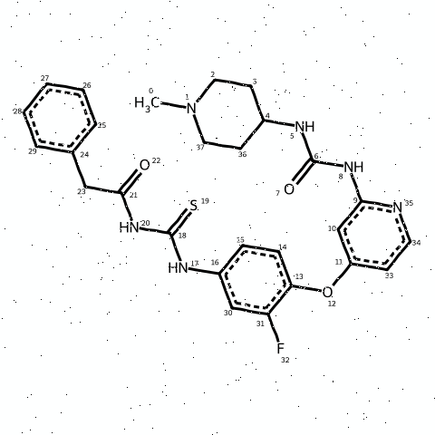 CN1CCC(NC(=O)Nc2cc(Oc3ccc(NC(=S)NC(=O)Cc4ccccc4)cc3F)ccn2)CC1